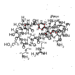 CC[C@H](C)[C@H](NC(=O)[C@H](CC(N)=O)NC(=O)[C@H](Cc1ccc(O)cc1)NC(=O)[C@H](CCCNC(=N)N)NC(=O)[C@@H]1CCCN1C(=O)[C@H](CCCCN)NC(=O)[C@H](CCC(=O)O)NC(=O)[C@@H](NC(=O)[C@@H](NC(=O)[C@H](CO)NC(=O)[C@H](C)N)C(C)C)[C@@H](C)O)C(=O)N[C@H](C(=O)N[C@@H](CC(C)C)C(=O)N[C@@H](Cc1ccccc1)C(=O)N[C@@H](CCSC)C(=O)O)C(C)C